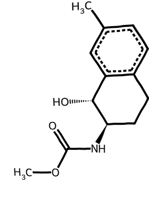 COC(=O)N[C@@H]1CCc2ccc(C)cc2[C@H]1O